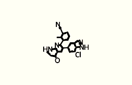 Cc1c(C#N)cccc1-c1nc2[nH]ccc(=O)c2cc1-c1cc(Cl)c2[nH]ncc2c1